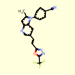 Cc1cc2ncc(C=Cc3nnc(C(F)(F)F)o3)cc2n1-c1ccc(C#N)cc1